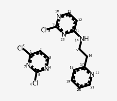 Clc1ccnc(Cl)n1.Clc1nccc(NCCc2ccccn2)n1